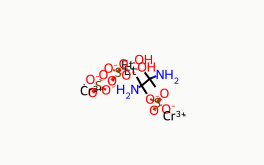 CC(C)(N)C(C)(C)N.CCO.CCO.O=S(=O)([O-])[O-].O=S(=O)([O-])[O-].O=S(=O)([O-])[O-].[Cr+3].[Cr+3]